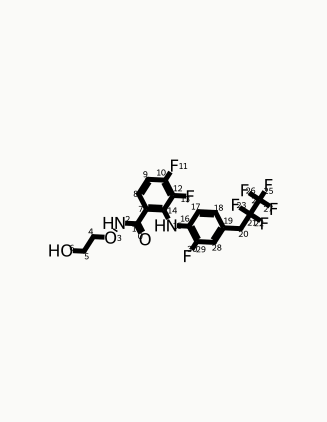 O=C(NOCCO)c1ccc(F)c(F)c1Nc1ccc(CC(F)(F)C(F)(F)F)cc1F